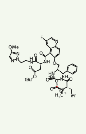 COc1cnn(CCNC(=O)[C@H](CC(=O)OC(C)(C)C)NC(=O)c2c(OC[C@@H](Cc3ccccc3)NC(=O)[C@@H](CC(F)(F)F)N(C)C(=O)[C@H](CC(C)C)N(C)C(=O)OC(C)(C)C)ccc3ncc(F)cc23)n1